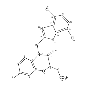 Cc1ccc2c(c1)OC(CC(=O)O)C(=O)N2Cc1nc2c(Cl)ccc(Cl)c2s1